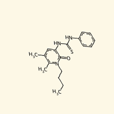 CCCCn1c(C)c(C)cc(NC(=S)Nc2ccccc2)c1=O